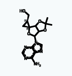 CC1(C)OC2C(n3cnc4c(N)ncnc43)O[C@@]3(C[C@H]3CO)C2O1